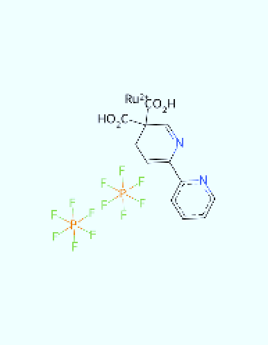 F[P-](F)(F)(F)(F)F.F[P-](F)(F)(F)(F)F.O=C(O)C1(C(=O)O)C=NC(c2ccccn2)=CC1.[Ru+2]